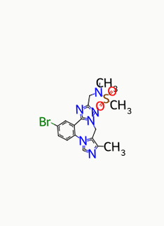 Cc1ncn2c1Cn1nc(CN(C)S(C)(=O)=O)nc1-c1cc(Br)ccc1-2